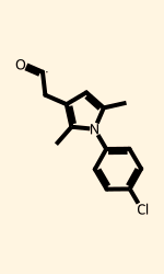 Cc1cc(C[C]=O)c(C)n1-c1ccc(Cl)cc1